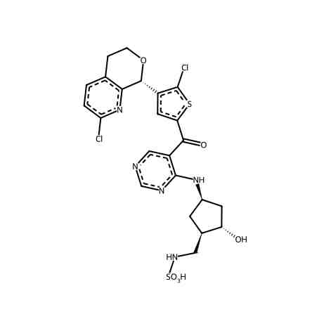 O=C(c1cc([C@H]2OCCc3ccc(Cl)nc32)c(Cl)s1)c1cncnc1N[C@H]1C[C@H](O)[C@@H]([CH]NS(=O)(=O)O)C1